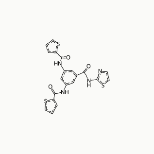 O=C(Nc1nccs1)c1cc(NC(=O)c2cccs2)cc(NC(=O)c2cccs2)c1